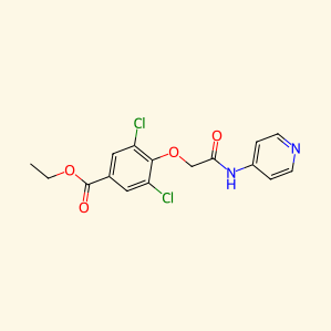 CCOC(=O)c1cc(Cl)c(OCC(=O)Nc2ccncc2)c(Cl)c1